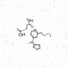 CCCCc1cc(N(C)n2cccc2)ccn1.O=C(O)C=CC(=O)O